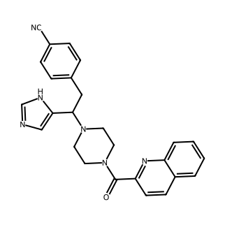 N#Cc1ccc(CC(c2cnc[nH]2)N2CCN(C(=O)c3ccc4ccccc4n3)CC2)cc1